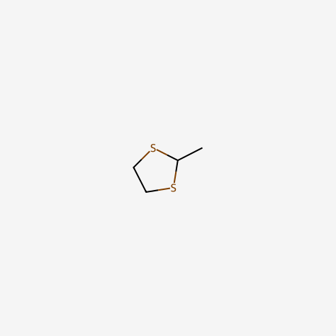 CC1SCCS1